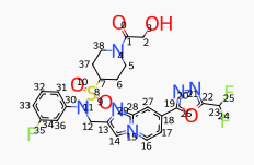 O=C(CO)N1CCC(S(=O)(=O)N(Cc2cn3ccc(-c4nnc(C(F)F)o4)cc3n2)c2cccc(F)c2)CC1